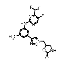 Cc1cc(Nc2ncc(F)c(C(F)F)n2)cc(-c2cn(CC3CNC(=O)O3)nn2)c1